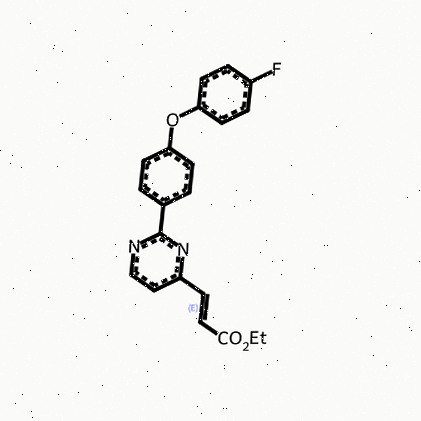 CCOC(=O)/C=C/c1ccnc(-c2ccc(Oc3ccc(F)cc3)cc2)n1